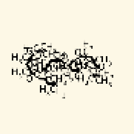 CC(C)(C)CC(COC(=O)C(C)(C)CC(C)(C)C(=O)OC(C)(C)C)OC(=O)C(C)(C)CC(C)(C)C(=O)OC(COC(=O)C(C)(C)CC(C)(C)C(=O)OC(C)(C)C)CC(C)(C)C